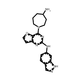 NC1CCCN(c2nc(Nc3ccc4cn[nH]c4c3)nc3ccoc23)CC1